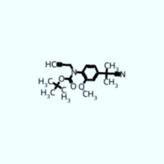 C#CCN(C(=O)OC(C)(C)C)c1ccc(C(C)(C)C#N)cc1OC